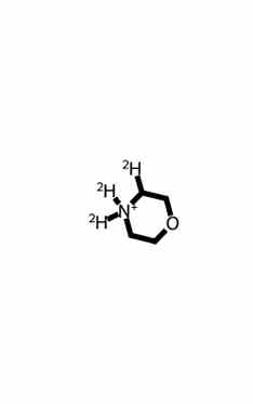 [2H]C1COCC[N+]1([2H])[2H]